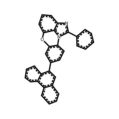 c1ccc(-c2nc3cccc4c3n2-c2ccc(-c3cc5ccccc5c5ccccc35)cc2O4)cc1